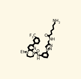 CCN1CCCN(C(=O)Nc2cccc(-n3cc(CNC(=O)CCCCCN)nn3)c2)c2nc(-c3cccc(C(F)(F)F)c3)ccc21